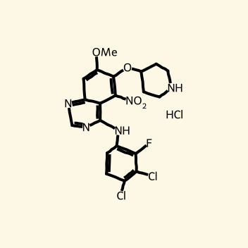 COc1cc2ncnc(Nc3ccc(Cl)c(Cl)c3F)c2c([N+](=O)[O-])c1OC1CCNCC1.Cl